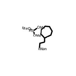 CCCCCCCCCCCC1CCCCCC1.CO[SiH](OC)OC